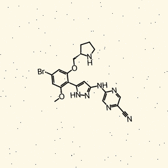 COc1cc(Br)cc(OC[C@H]2CCCN2)c1-c1cc(Nc2cnc(C#N)cn2)n[nH]1